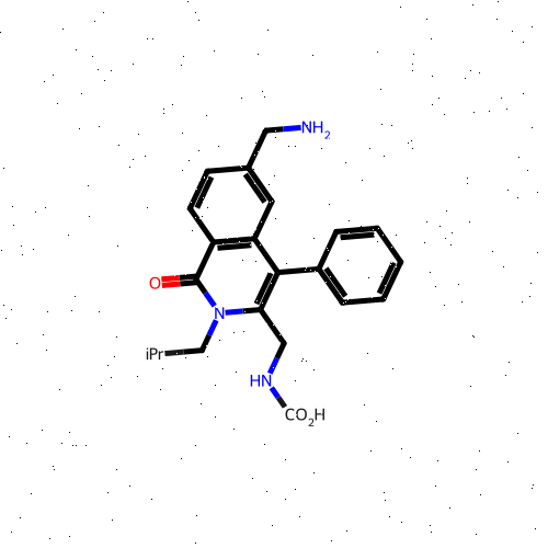 CC(C)Cn1c(CNC(=O)O)c(-c2ccccc2)c2cc(CN)ccc2c1=O